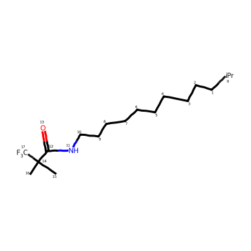 CC(C)CCCCCCCCCCNC(=O)C(C)(C)C(F)(F)F